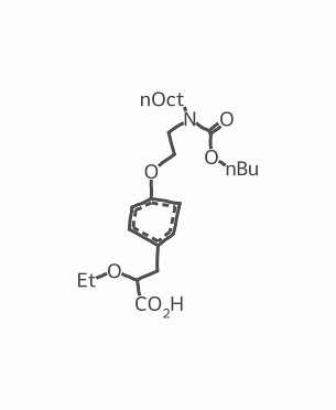 CCCCCCCCN(CCOc1ccc(CC(OCC)C(=O)O)cc1)C(=O)OCCCC